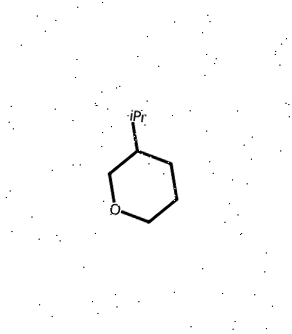 CC(C)C1CCCOC1